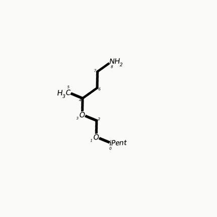 CCCC(C)OCOC(C)CCN